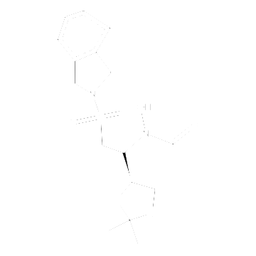 CC1(C)OC[C@H](C(CS(=O)(=O)N2Cc3ccccc3C2)N(O)C=O)O1